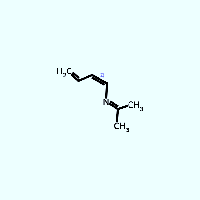 C=C/C=C\N=C(C)C